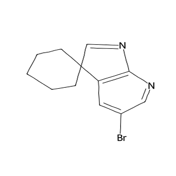 Brc1cnc2c(c1)C1(C=N2)CCCCC1